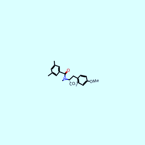 COc1ccc(C[C@H](C(=O)O)N(C)C(=O)c2cc(C)cc(C)c2)cc1